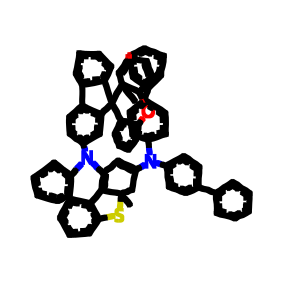 CC12CC(N(c3ccc(-c4ccccc4)cc3)c3ccc(-c4ccccc4)cc3)=CC(N(c3ccccc3)c3ccc4c(c3)C3(c5ccccc5OC5C=CC=CC53C)c3ccccc3-4)=C1c1ccccc1S2